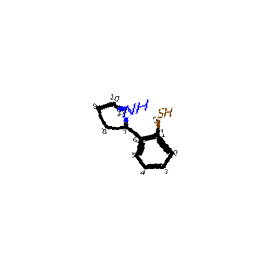 Sc1ccccc1C1CCCN1